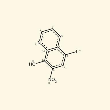 O=[N+]([O-])c1cc(I)c2cccnc2c1O